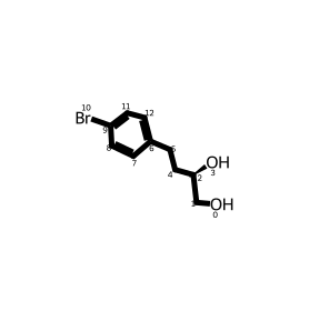 OC[C@H](O)CCc1ccc(Br)cc1